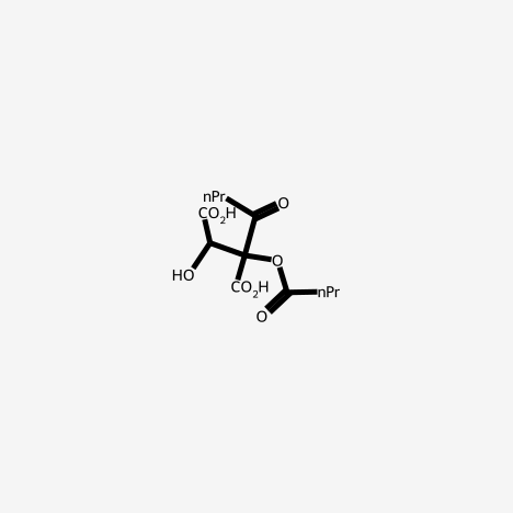 CCCC(=O)OC(C(=O)O)(C(=O)CCC)C(O)C(=O)O